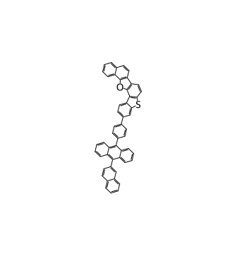 c1ccc2cc(-c3c4ccccc4c(-c4ccc(-c5ccc6c(c5)sc5ccc7c8ccc9ccccc9c8oc7c56)cc4)c4ccccc34)ccc2c1